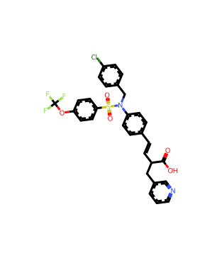 O=C(O)C(C=Cc1ccc(N(Cc2ccc(Cl)cc2)S(=O)(=O)c2ccc(OC(F)(F)F)cc2)cc1)Cc1cccnc1